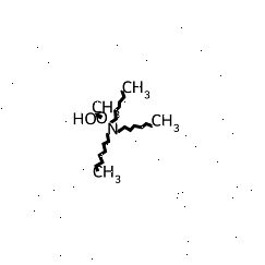 CC(=O)O.CCCCCCCCN(CCCCCCCC)CCCCCCCC